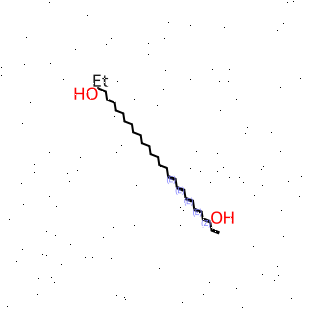 C=C/C(O)=C/C=C/C=C/C=C/C=C/CCCCCCCCCCCCCCCC(O)CC